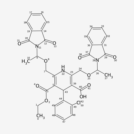 CCOC(=O)C1=C(COC(C)N2C(=O)c3ccccc3C2=O)NC(COC(C)N2C(=O)c3ccccc3C2=O)=C(C(=O)O)C1c1ccccc1Cl